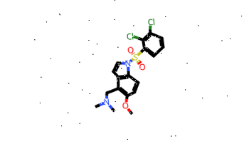 COc1ccc2c(ccn2S(=O)(=O)c2cccc(Cl)c2Cl)c1CN(C)C